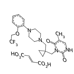 Cc1c[nH]c(=O)n(CC2(CN3CCN(c4ccccc4OCC(F)(F)F)CC3)CC2)c1=O.O=C(O)C=CC(=O)O